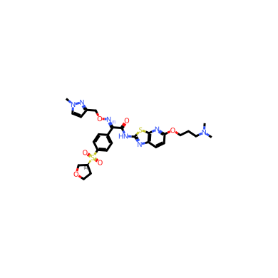 CN(C)CCCOc1ccc2nc(NC(=O)/C(=N/OCc3ccn(C)n3)c3ccc(S(=O)(=O)[C@H]4CCOC4)cc3)sc2n1